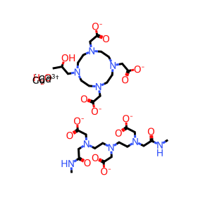 CC(O)CN1CCN(CC(=O)[O-])CCN(CC(=O)[O-])CCN(CC(=O)[O-])CC1.CNC(=O)CN(CCN(CCN(CC(=O)[O-])CC(=O)NC)CC(=O)[O-])CC(=O)[O-].O.[Gd+3].[Gd+3]